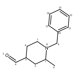 CC1CC(C=O)CCN1Cc1ccccc1